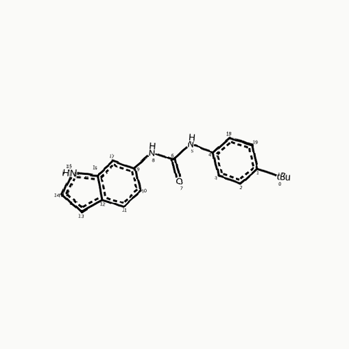 CC(C)(C)c1ccc(NC(=O)Nc2ccc3cc[nH]c3c2)cc1